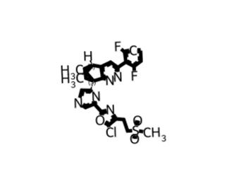 CC1(C)[C@H]2CC[C@]1(c1cncc(-c3nc(CCS(C)(=O)=O)c(Cl)o3)n1)c1nnc(-c3c(F)cccc3F)cc12